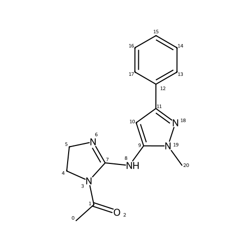 CC(=O)N1CCN=C1Nc1cc(-c2ccccc2)nn1C